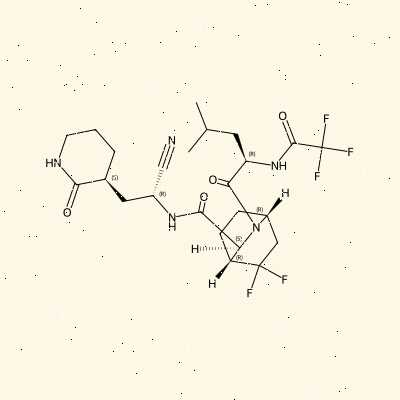 CC(C)C[C@@H](NC(=O)C(F)(F)F)C(=O)N1[C@@H]2CC[C@H]([C@H]1C(=O)N[C@@H](C#N)C[C@@H]1CCCNC1=O)C(F)(F)C2